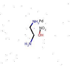 NCCN.O=[N+]([O-])O.[Pd]